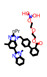 CCCc1nc2c(C)cc(-c3nc4ccccc4n3C)cc2n1Cc1ccc(-c2ccccc2C(=O)OCCOCCON(O)O)cc1